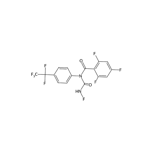 O=C(NF)N(C(=O)c1c(F)cc(F)cc1F)c1ccc(C(F)(F)C(F)(F)F)cc1